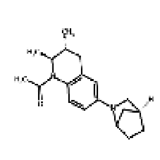 CC(=O)N1c2ccc(N3C[C@H]4CCC3C4)cc2C[C@@H](C)[C@@H]1C